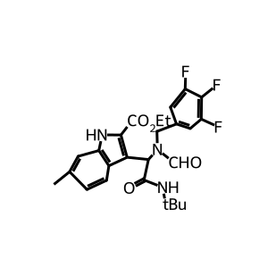 CCOC(=O)c1[nH]c2cc(C)ccc2c1C(C(=O)NC(C)(C)C)N(C=O)Cc1cc(F)c(F)c(F)c1